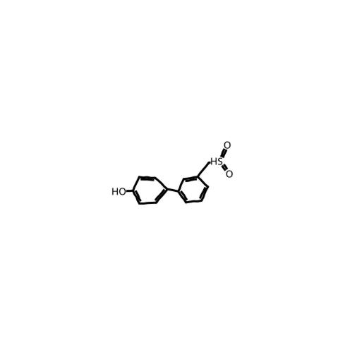 O=[SH](=O)Cc1cccc(-c2ccc(O)cc2)c1